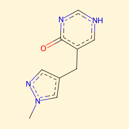 Cn1cc(Cc2c[nH]cnc2=O)cn1